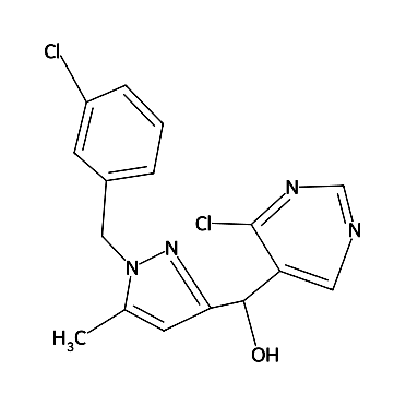 Cc1cc(C(O)c2cncnc2Cl)nn1Cc1cccc(Cl)c1